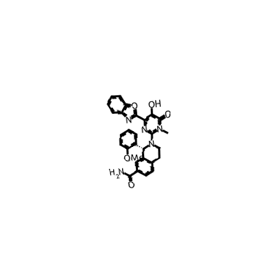 COc1ccccc1[C@H]1c2cc(C(N)=O)ccc2CCN1c1nc(-c2nc3ccccc3o2)c(O)c(=O)n1C